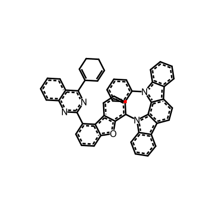 C1=CC(c2nc(-c3cccc4oc5c(-n6c7ccccc7c7ccc8c9ccccc9n(-c9ccccc9)c8c76)cccc5c34)nc3ccccc23)=CCC1